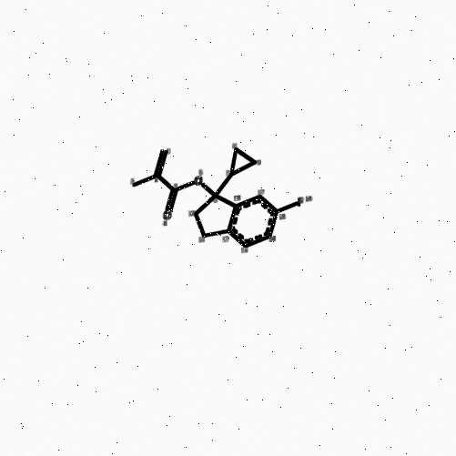 C=C(C)C(=O)OC1(C2CC2)CCc2ccc(F)cc21